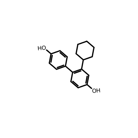 Oc1ccc(-c2ccc(O)cc2C2CCCCC2)cc1